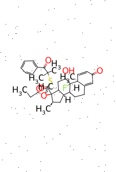 CCC(=O)O[C@]1(C(=O)SC(C)(C)C(=O)c2ccccc2)[C@H](C)C[C@H]2[C@@H]3CCC4=CC(=O)C=C[C@]4(C)[C@@]3(F)[C@@H](O)C[C@@]21C